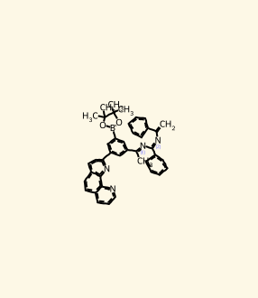 C=C(/N=C(\N=C(/C)c1cc(B2OC(C)(C)C(C)(C)O2)cc(-c2ccc3ccc4cccnc4c3n2)c1)c1ccccc1)c1ccccc1